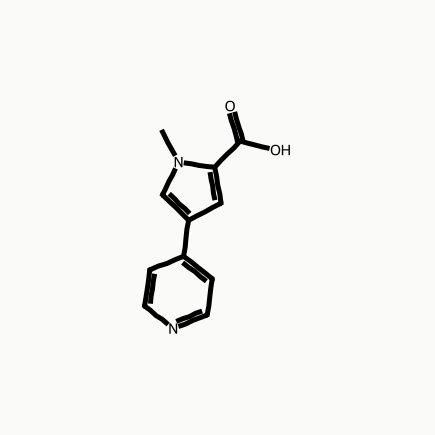 Cn1cc(-c2ccncc2)cc1C(=O)O